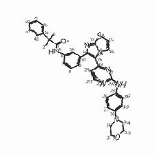 CC(C)(C(=O)Nc1cccc(-c2nc3sccn3c2-c2ccnc(Nc3ccc(N4CCOCC4)cc3)n2)c1)c1ccccc1